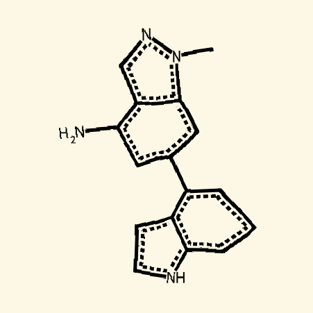 Cn1ncc2c(N)cc(-c3cccc4[nH]ccc34)cc21